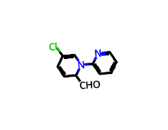 O=CC1C=CC(Cl)=CN1c1ccccn1